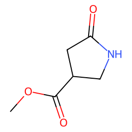 COC(=O)C1CNC(=O)C1